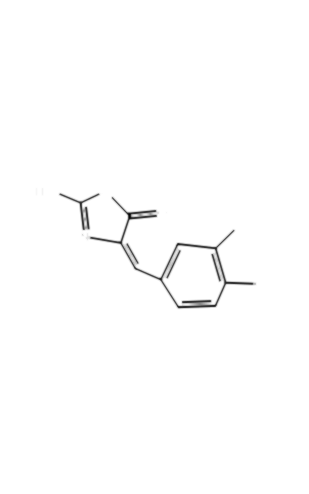 CC1=NC(=Cc2ccc(O)c(F)c2)C(=O)O1